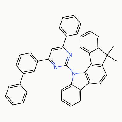 CC1(C)c2ccccc2-c2c1ccc1c3ccccc3n(-c3nc(-c4ccccc4)cc(-c4cccc(-c5ccccc5)c4)n3)c21